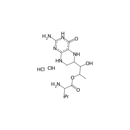 CC(C)C(N)C(=O)OC(C)C(O)C1CNc2nc(N)[nH]c(=O)c2N1.Cl.Cl